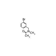 CC(=O)N(C)Cc1cccc(Br)c1